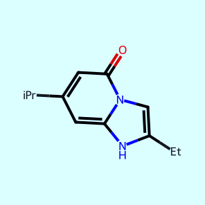 CCc1cn2c(=O)cc(C(C)C)cc2[nH]1